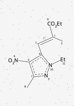 CCOC(=O)/C(C)=C/c1c([N+](=O)[O-])c(C)nn1CC